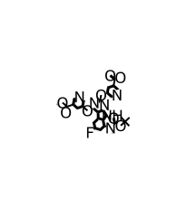 COC(=O)c1cncc(Oc2nc(Oc3cncc(C(=O)OC)c3)c3c(n2)[nH]c2c(N(C)C(=O)OC(C)(C)C)cc(F)cc23)c1